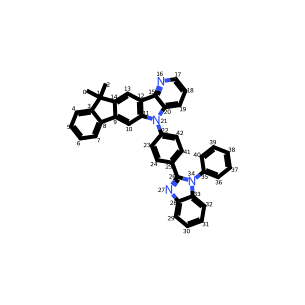 CC1(C)c2ccccc2-c2cc3c(cc21)c1ncccc1n3-c1ccc(-c2nc3ccccc3n2-c2ccccc2)cc1